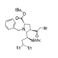 CCC(CC)C[C@H](NC(C)=O)[C@H]1[C@H](C(=O)CBr)C[C@H](C(=O)OC(C)(C)C)N1Cc1ccccc1